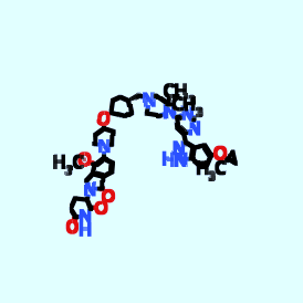 COc1c(N2CCC(O[C@H]3CC[C@H](CN4CCN(c5cc(-c6n[nH]c7ccc(OC8(C)CC8)cc67)ncn5)C(C)(C)C4)CC3)CC2)ccc2c1CN(C1CCC(=O)NC1=O)C2=O